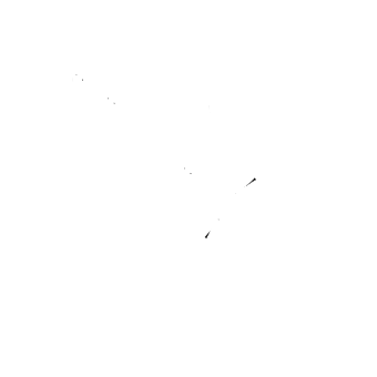 OC1C=CC(C(O)CN2C[C@@H]3C[C@@](O)(Cc4ccccc4)C[C@@H]3C2)=NN1